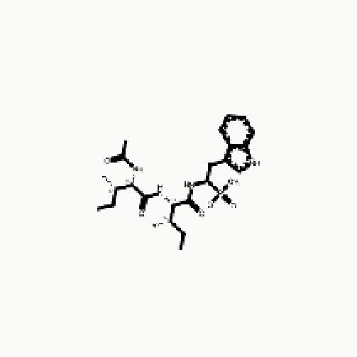 CC[C@H](C)[C@H](NC(C)=O)C(=O)N[C@H](C(=O)NC(Cc1c[nH]c2ccccc12)P([O])(=O)O)[C@@H](C)CC